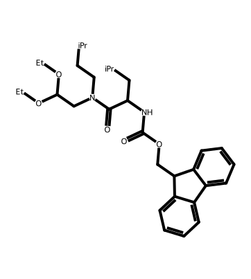 CCOC(CN(CCC(C)C)C(=O)C(CC(C)C)NC(=O)OCC1c2ccccc2-c2ccccc21)OCC